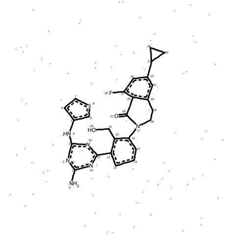 Nc1nc(Nc2ccsc2)nc(-c2cccc(N3CCc4cc(C5CC5)cc(F)c4C3=O)c2CO)n1